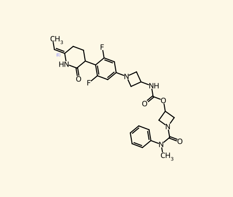 C/C=C1\CCC(c2c(F)cc(N3CC(NC(=O)OC4CN(C(=O)N(C)c5ccccc5)C4)C3)cc2F)C(=O)N1